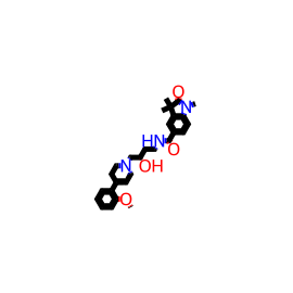 COc1ccccc1C1=CCN(C[C@H](O)CCNC(=O)c2ccc3c(c2)C(C)(C)C(=O)N3C)CC1